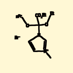 CCCOC(OCC)(C(=O)OCC)n1cc[n+](C)c1.[Br-]